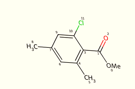 COC(=O)c1c(C)cc(C)cc1Cl